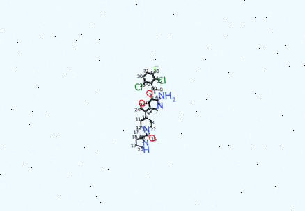 C[C@@H](Oc1c(N)ncc2c(C3=CCN(C(=O)[C@]4(C)CCCN4)CC3)coc12)c1c(Cl)ccc(F)c1Cl